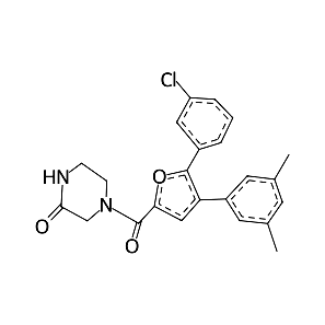 Cc1cc(C)cc(-c2cc(C(=O)N3CCNC(=O)C3)oc2-c2cccc(Cl)c2)c1